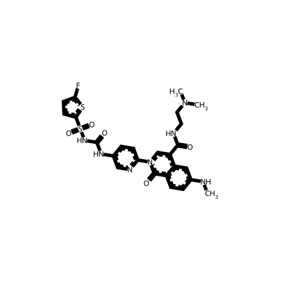 CNc1ccc2c(=O)n(-c3ccc(NC(=O)NS(=O)(=O)c4ccc(F)s4)cn3)cc(C(=O)NCCN(C)C)c2c1